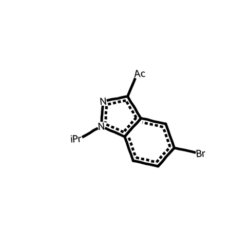 CC(=O)c1nn(C(C)C)c2ccc(Br)cc12